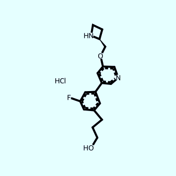 Cl.OCCCc1cc(F)cc(-c2cncc(OC[C@@H]3CCN3)c2)c1